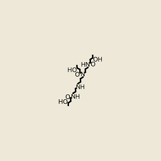 CC(O)CC(=O)NCCCNCCCCN(CCCNC(=O)CC(C)O)C(=O)CC(C)O